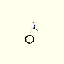 C/C(=N/O)Sc1ccccc1